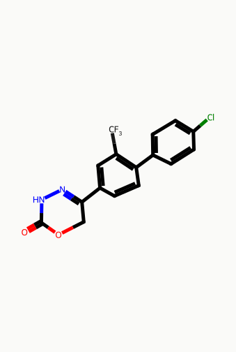 O=C1NN=C(c2ccc(-c3ccc(Cl)cc3)c(C(F)(F)F)c2)CO1